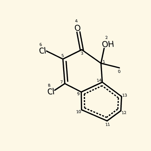 CC1(O)C(=O)C(Cl)=C(Cl)c2ccccc21